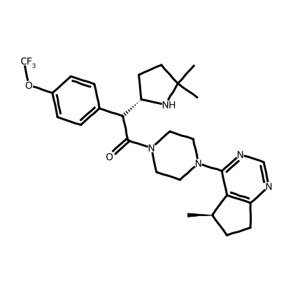 C[C@@H]1CCc2ncnc(N3CCN(C(=O)C(c4ccc(OC(F)(F)F)cc4)[C@@H]4CCC(C)(C)N4)CC3)c21